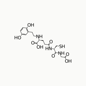 O=C(O)CNC(=O)[C@H](CS)NC(=O)CC[C@H](NCCc1cc(O)ccc1O)C(=O)O